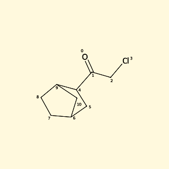 O=C(CCl)C1CC2CCC1C2